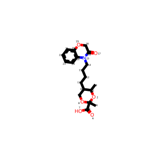 CC1OC(C)(C(=O)O)OCC1CCCCN1C(=O)COc2ccccc21